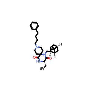 CC(C)C[C@@H]1NC(=O)C2(CCN(CCCCc3ccccc3)CC2)N(C[C@H]2CC[C@H]3C[C@H]2C3(C)C)C1=O